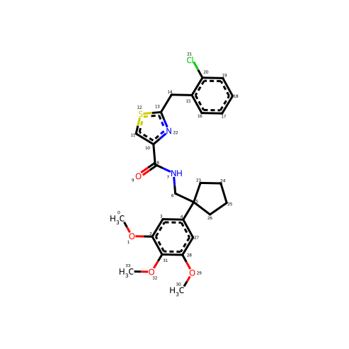 COc1cc(C2(CNC(=O)c3csc(Cc4ccccc4Cl)n3)CCCC2)cc(OC)c1OC